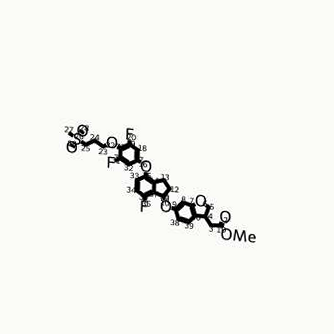 COC(=O)CC1COc2cc(O[C@@H]3CCc4c(Oc5cc(F)c(OCCCS(C)(=O)=O)c(F)c5)ccc(F)c43)ccc21